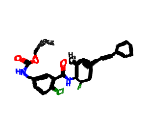 Cc1cc(C#Cc2ccccc2)cc(F)c1NC(=O)c1cc(NC(=O)OCC(C)(C)C)ccc1Cl